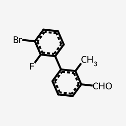 Cc1c(C=O)cccc1-c1cccc(Br)c1F